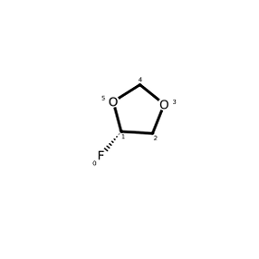 F[C@H]1COCO1